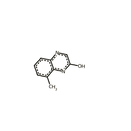 Cc1cccc2ncc(O)nc12